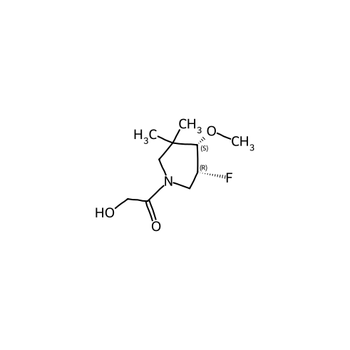 CO[C@@H]1[C@H](F)CN(C(=O)CO)CC1(C)C